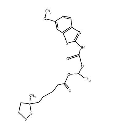 COc1ccc2nc(NC(=O)OC(C)OC(=O)CCCC[C@]3(C)CCSS3)sc2c1